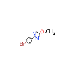 CCOc1cnc(-c2ccc(Br)cc2)nc1